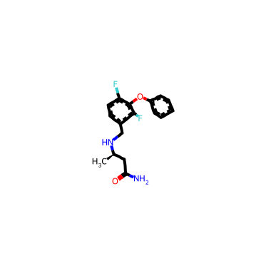 C[C@H](CC(N)=O)NCc1ccc(F)c(Oc2ccccc2)c1F